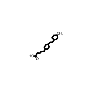 CC1CCC(CCC2CCC(CC/C=C/C(=O)O)CC2)CC1